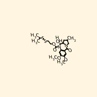 C=C1C[C@H]2C(O)N(C(=O)OCCSSC(C)C)c3cc(OC)c(OC)cc3C(=O)N2C1